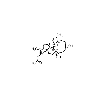 CC[C@@H]1CC[C@H](O)CCC(C)[C@H]2CCC3(C)C([C@H](C)CCC(=O)O)CC[C@H]3[C@@H]2[C@@H]1O